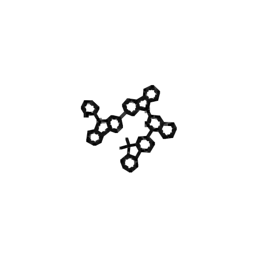 CC1(C)c2ccccc2-c2ccc(-c3nc(-n4c5ccccc5c5ccc(-c6ccc7c8ccccc8n(-c8ccccn8)c7c6)cc54)cc4ccccc34)cc21